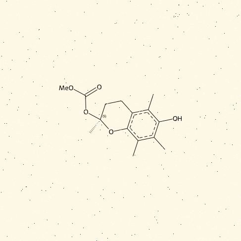 COC(=O)O[C@@]1(C)CCc2c(C)c(O)c(C)c(C)c2O1